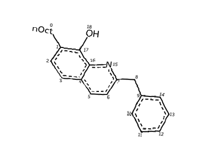 CCCCCCCCc1ccc2ccc(Cc3ccccc3)nc2c1O